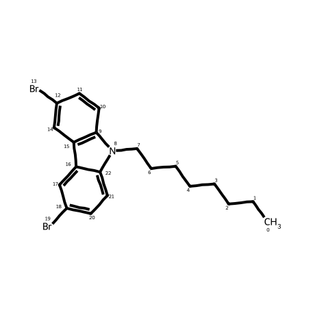 CCCCCCCCn1c2ccc(Br)cc2c2cc(Br)ccc21